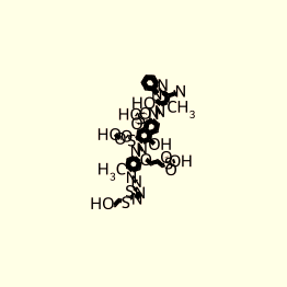 Cc1cc(N=Nc2c(SOOO)cc3c(S(=O)(=O)O)c(N=Nc4c(C)c(C#N)c5nc6ccccc6n5c4O)ccc3c2O)c(OCCCS(=O)(=O)O)cc1N=Nc1nnc(SCCO)s1